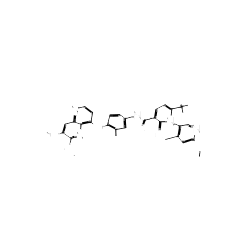 COc1cc(C)c(-n2c(C(F)(F)F)ccc(C(=O)Nc3ccc(Oc4ccnc5cc(OC)c(OC)nc45)c(F)c3)c2=O)cn1